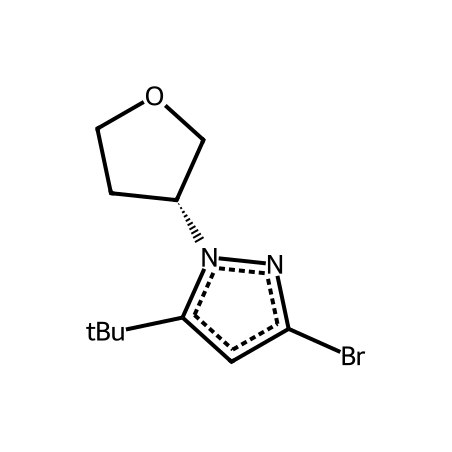 CC(C)(C)c1cc(Br)nn1[C@@H]1CCOC1